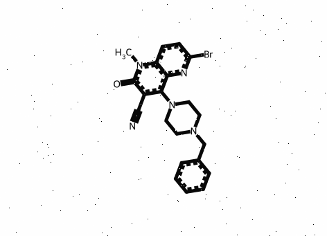 Cn1c(=O)c(C#N)c(N2CCN(Cc3ccccc3)CC2)c2nc(Br)ccc21